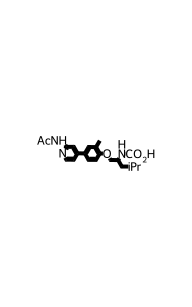 CC(=O)Nc1cc(-c2ccc(OCC(CC(C)C)NC(=O)O)c(C)c2)ccn1